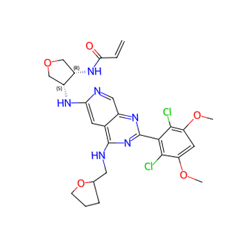 C=CC(=O)N[C@H]1COC[C@H]1Nc1cc2c(NCC3CCCO3)nc(-c3c(Cl)c(OC)cc(OC)c3Cl)nc2cn1